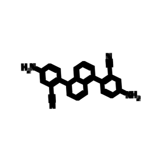 N#Cc1cc(N)ccc1-c1cccc2c(-c3ccc(N)cc3C#N)cccc12